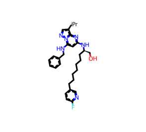 CC(C)c1cnn2c(NCc3ccccc3)cc(N[C@@H](CO)CCCCCCCc3ccc(F)nc3)nc12